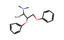 CC(=O)OC(C(COc1ccccc1)Oc1ccccc1)N(C)C